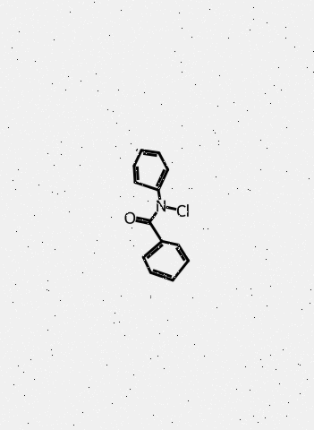 O=C(c1ccccc1)N(Cl)c1cc[c]cc1